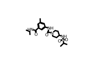 Cc1cc(NC(=O)N2CCC(NS(=O)(=O)C(C)C)CC2)cc(C(=O)NC(C)C)c1